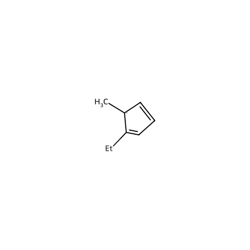 CCC1=CC=C[C]1C